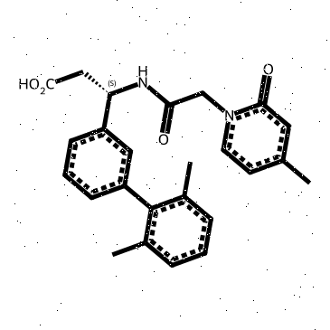 Cc1ccn(CC(=O)N[C@@H](CC(=O)O)c2cccc(-c3c(C)cccc3C)c2)c(=O)c1